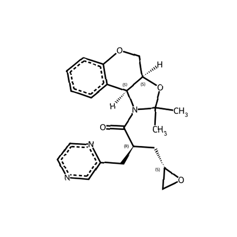 CC1(C)O[C@@H]2COc3ccccc3[C@@H]2N1C(=O)[C@H](Cc1cnccn1)C[C@H]1CO1